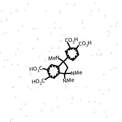 CNC1(NC)CC(NC)(c2ccc(C(=O)O)c(C(=O)O)c2)c2cc(C(=O)O)c(C(=O)O)cc21